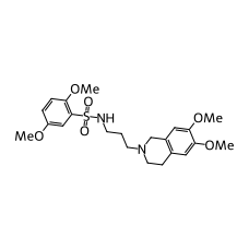 COc1ccc(OC)c(S(=O)(=O)NCCCN2CCc3cc(OC)c(OC)cc3C2)c1